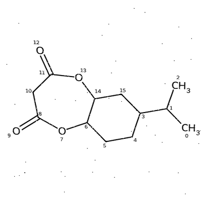 CC(C)C1CCC2OC(=O)CC(=O)OC2C1